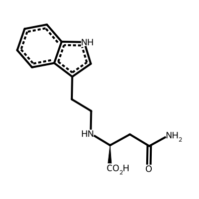 NC(=O)C[C@H](NCCc1c[nH]c2ccccc12)C(=O)O